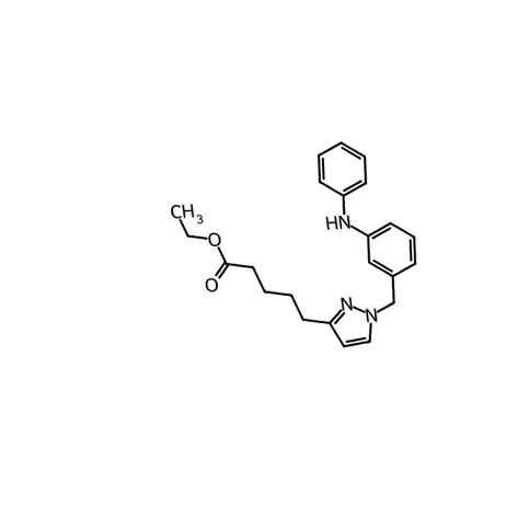 CCOC(=O)CCCCc1ccn(Cc2cccc(Nc3ccccc3)c2)n1